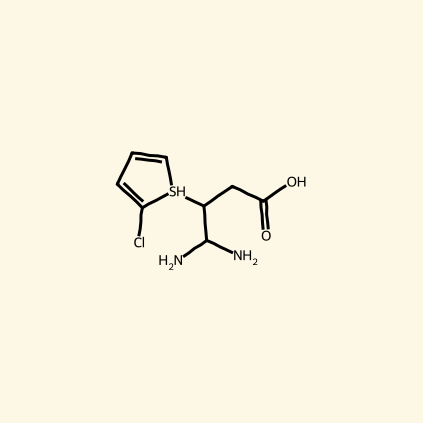 NC(N)C(CC(=O)O)[SH]1C=CC=C1Cl